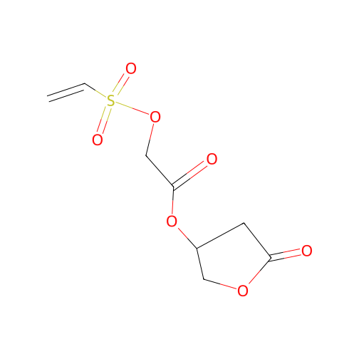 C=CS(=O)(=O)OCC(=O)OC1COC(=O)C1